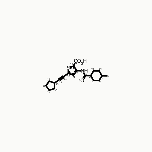 CC1CCC(C(=O)Nc2cc(C#CC3CCCC3)sc2C(=O)O)CC1